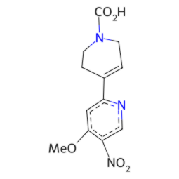 COc1cc(C2=CCN(C(=O)O)CC2)ncc1[N+](=O)[O-]